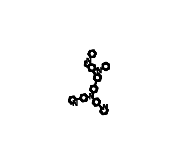 c1ccc(-n2ccc3cc4c5cc(-c6ccc(N(c7ccc(-c8ccccn8)cc7)c7ccc(-c8ccccn8)cc7)cc6)ccc5n(-c5ccccc5)c4cc32)cc1